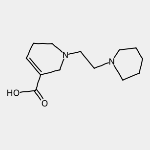 O=C(O)C1=CCCN(CCN2CCCCC2)C1